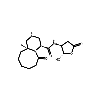 O=C1C[C@H](NC(=O)[C@@H]2CNC[C@@H]3CCCCCC(=O)N32)[C@@H](O)O1